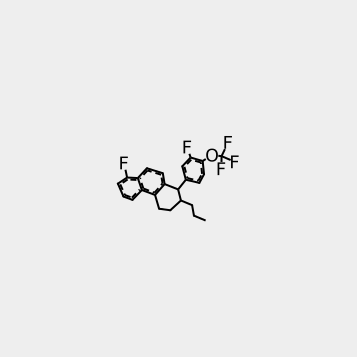 CCCC1CCc2c(ccc3c(F)cccc23)C1c1ccc(OC(F)(F)F)c(F)c1